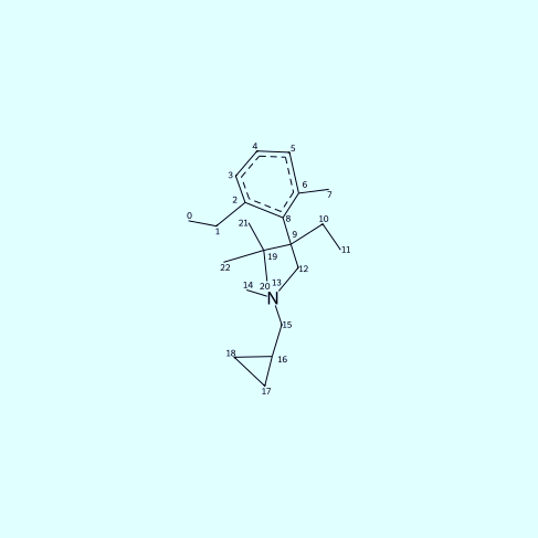 CCc1cccc(C)c1C(CC)(CN(C)CC1CC1)C(C)(C)C